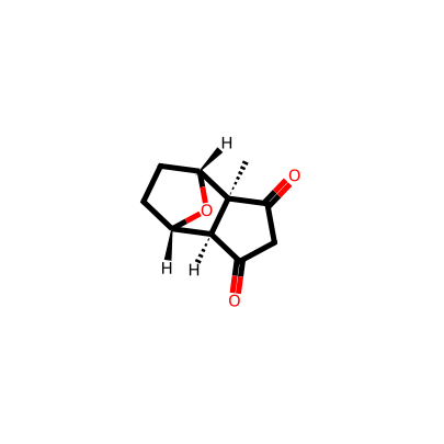 C[C@]12C(=O)CC(=O)[C@H]1[C@@H]1CC[C@H]2O1